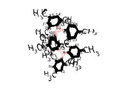 Cc1cc(C)c(B(c2cc(B(c3c(C)cc(C)cc3C)c3c(C)cc(C)cc3C)cc([Si](C)(C)C)c2)c2c(C)cc(C)cc2C)c(C)c1